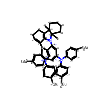 CC(C)(C)c1ccc(N\C=C2/B3C4=CCCC5=C4N(/C2=C/C(N(c2ccc(C(C)(C)C)cc2)c2ccc(C(C)(C)C)cc2)=C\c2ccc(C(C)(C)C)cc23)C2(C)CCCCC52C)cc1